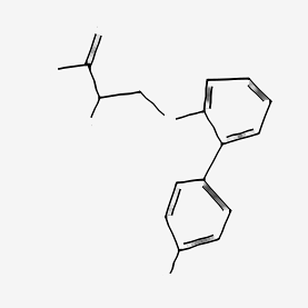 O=C(O)C(O)CSc1ccccc1-c1ccc(Cl)cc1